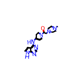 CN1CCN(CC(=O)N2CCC(Nc3ncnc4[nH]ccc34)CC2)CC1